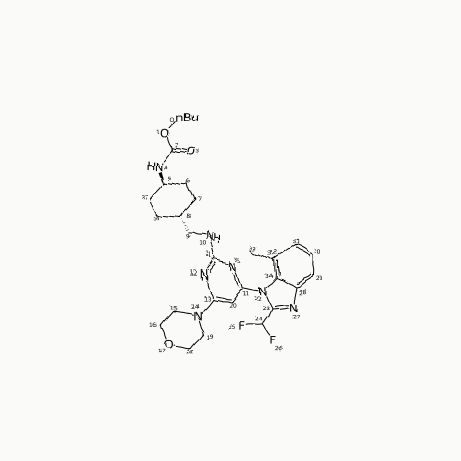 CCCCOC(=O)N[C@H]1CC[C@H](CNc2nc(N3CCOCC3)cc(-n3c(C(F)F)nc4cccc(C)c43)n2)CC1